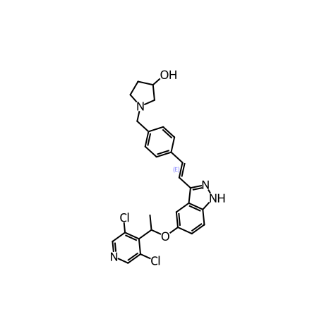 CC(Oc1ccc2[nH]nc(/C=C/c3ccc(CN4CCC(O)C4)cc3)c2c1)c1c(Cl)cncc1Cl